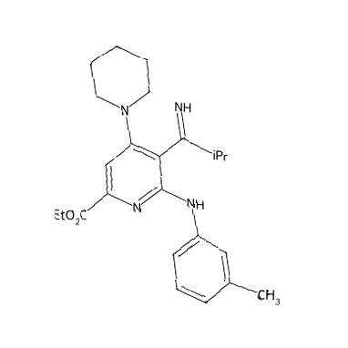 CCOC(=O)c1cc(N2CCCCC2)c(C(=N)C(C)C)c(Nc2cccc(C)c2)n1